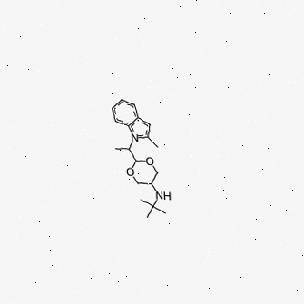 Cc1cc2ccccc2n1C(C)C1OCC(NC(C)(C)C)CO1